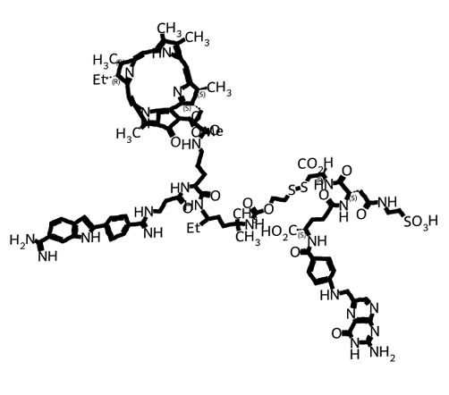 CCC(CCC(C)(C)NC(=O)OCCSSC[C@H](NC(=O)[C@H](CC(=O)NCCS(=O)(=O)O)NC(=O)CC[C@H](NC(=O)c1ccc(NCc2cnc3nc(N)[nH]c(=O)c3n2)cc1)C(=O)O)C(=O)O)NC(=O)C(CCCNC(=O)CC[C@@H]1c2nc(cc3[nH]c(cc4nc(cc5[nH]c6c(c5C)C(=O)C(C(=O)OC)c26)[C@H](CC)[C@H]4C)c(C)c3C)[C@H]1C)NC(=O)CCNC(=N)c1ccc(-c2cc3ccc(C(=N)N)cc3[nH]2)cc1